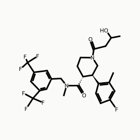 Cc1cc(F)ccc1[C@@H]1CN(C(=O)CC(C)O)CC[C@H]1C(=O)N(C)Cc1cc(C(F)(F)F)cc(C(F)(F)F)c1